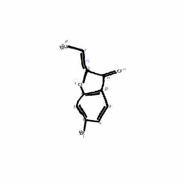 CC(C)(C)/C=C1\Oc2cc(Br)ccc2C1=O